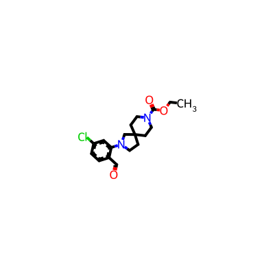 CCOC(=O)N1CCC2(CC1)CCN(c1cc(Cl)ccc1C=O)C2